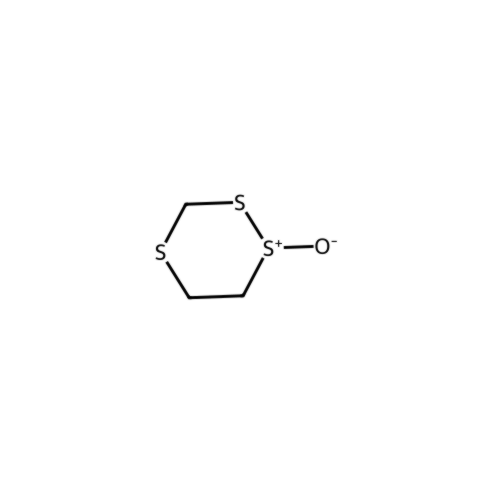 [O-][S+]1CCSCS1